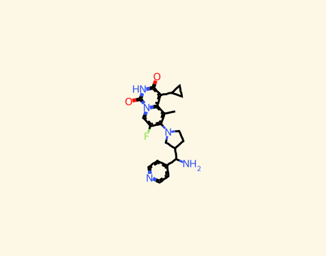 Cc1c(N2CCC(C(N)c3ccncc3)C2)c(F)cn2c(=O)[nH]c(=O)c(C3CC3)c12